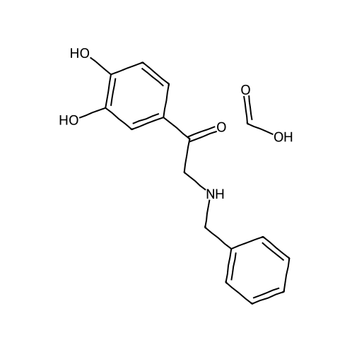 O=C(CNCc1ccccc1)c1ccc(O)c(O)c1.O=CO